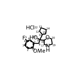 COc1ccc(F)cc1CC(O)(C1CCCC1)C1CNCCO1.Cl